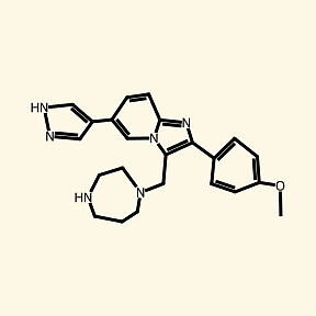 COc1ccc(-c2nc3ccc(-c4cn[nH]c4)cn3c2CN2CCCNCC2)cc1